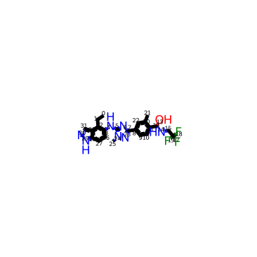 CCc1c(Nc2nc(-c3ccc(C(O)NCC(F)(F)F)c(C)c3)nn2C)ccc2[nH]ncc12